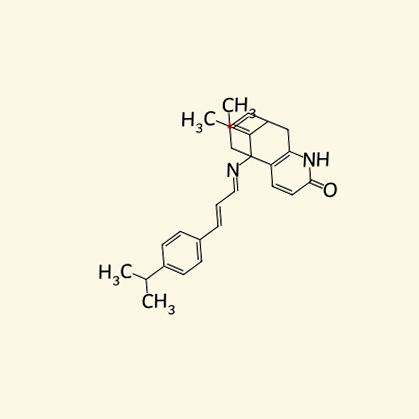 C/C=C1\C2C=C(C)CC1(/N=C/C=C/c1ccc(C(C)C)cc1)c1ccc(=O)[nH]c1C2